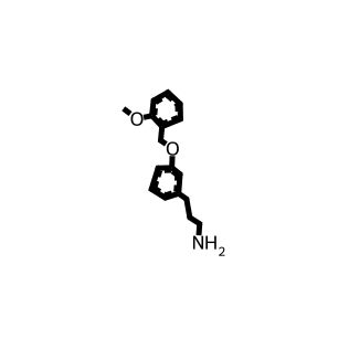 COc1ccccc1COc1cccc(CCCN)c1